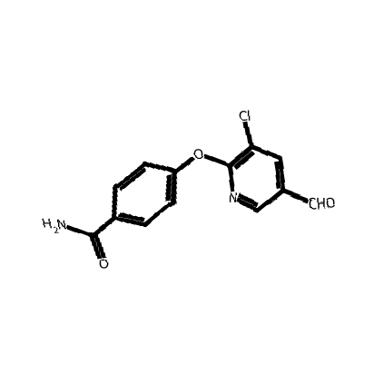 NC(=O)c1ccc(Oc2ncc(C=O)cc2Cl)cc1